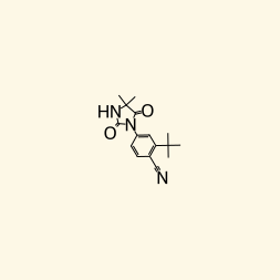 CC1(C)NC(=O)N(c2ccc(C#N)c(C(C)(C)C)c2)C1=O